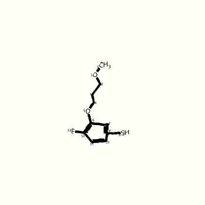 COCCCOc1cc(S)ccc1F